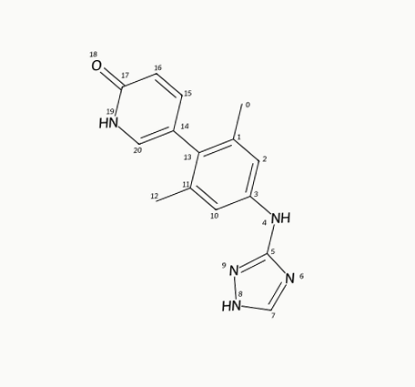 Cc1cc(Nc2nc[nH]n2)cc(C)c1-c1ccc(=O)[nH]c1